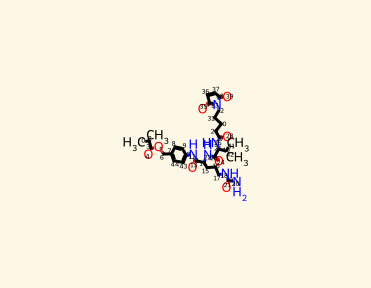 CC(C)C(=O)OCc1ccc(NC(=O)C(CCCNC(N)=O)NC(=O)C(NC(=O)CCCCN2C(=O)C=CC2=O)C(C)C)cc1